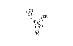 N#Cc1ccc(C=CCN2CCc3c(c4cc(OC(F)(F)F)ccc4n3C(=O)NCc3ccnc(F)c3)C2)cc1F